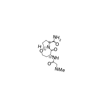 CNCC(=O)N[C@H]1CCO[C@H]2CC[C@@H](C(N)=O)N2C1=O